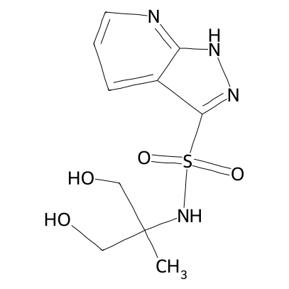 CC(CO)(CO)NS(=O)(=O)c1n[nH]c2ncccc12